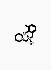 Cc1cccc(C[Si](C)(C)CN2CCCCC2)c1Cl.Cl